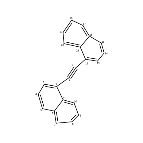 C(#Cc1cccc2ccccc12)c1cc[c]c2ccccc12